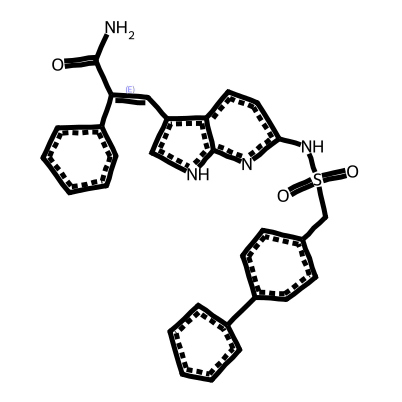 NC(=O)/C(=C/c1c[nH]c2nc(NS(=O)(=O)Cc3ccc(-c4ccccc4)cc3)ccc12)c1ccccc1